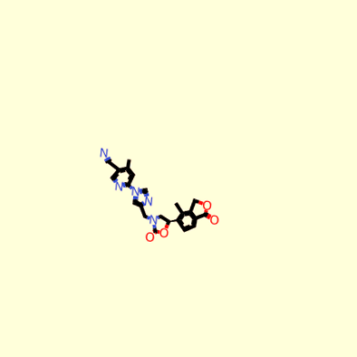 Cc1cc(-n2cnc(CN3C[C@@H](c4ccc5c(c4C)COC5=O)OC3=O)c2)ncc1C#N